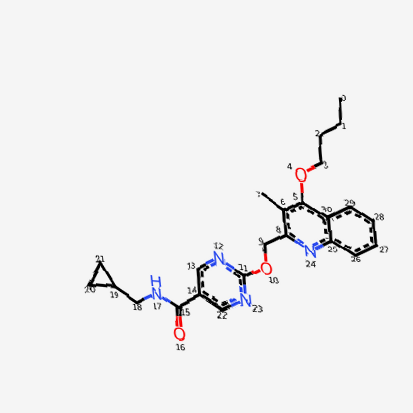 CCCCOc1c(C)c(COc2ncc(C(=O)NCC3CC3)cn2)nc2ccccc12